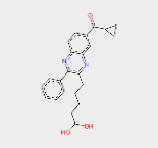 O=C(c1ccc2nc(-c3ccccc3)c(CCCCC(O)O)nc2c1)C1CC1